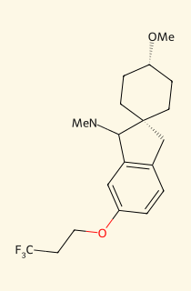 CNC1c2cc(OCCC(F)(F)F)ccc2C[C@]12CC[C@@H](OC)CC2